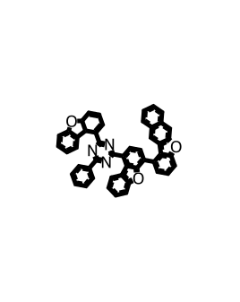 C1=CC2Oc3ccccc3C2C(c2nc(-c3ccccc3)nc(-c3ccc(-c4cccc5oc6cc7ccccc7cc6c45)c4oc5ccccc5c34)n2)=C1